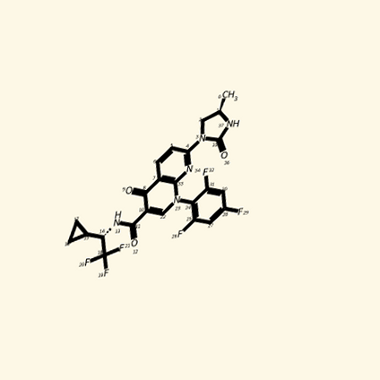 C[C@@H]1CN(c2ccc3c(=O)c(C(=O)N[C@@H](C4CC4)C(F)(F)F)cn(-c4c(F)cc(F)cc4F)c3n2)C(=O)N1